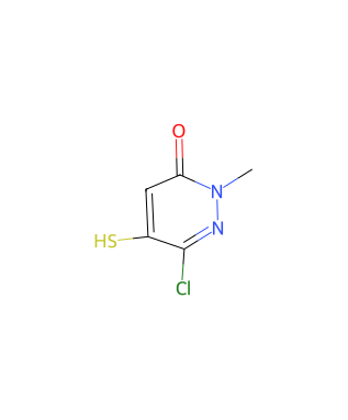 Cn1nc(Cl)c(S)cc1=O